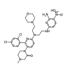 CN1CCN(c2ccc(N(CCNc3ccc([NH+]([O-])O)c(N)n3)CCN3CCOCC3)nc2-c2ccc(Cl)cc2Cl)C(=O)C1